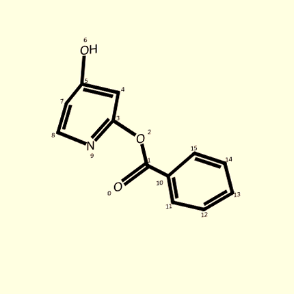 O=C(Oc1cc(O)ccn1)c1ccccc1